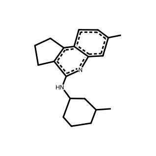 Cc1ccc2c3c(c(NC4CCCC(C)C4)nc2c1)CCC3